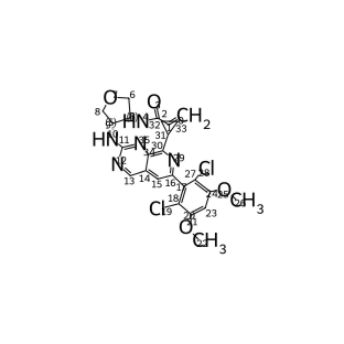 C=CC(=O)N[C@H]1COC[C@H]1Nc1ncc2cc(-c3c(Cl)c(OC)cc(OC)c3Cl)nc(C3CC3)c2n1